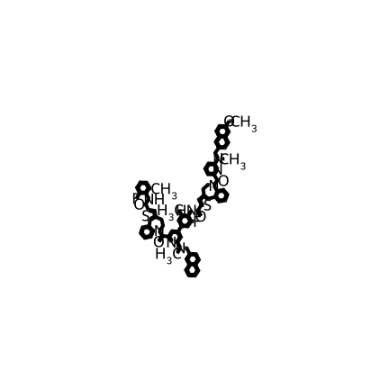 COc1ccc2cc(CN(C)c3cccc(C(=O)N4CCc5cc(C(=O)Nc6c(C)cc(-c7cc(C(=O)N8CCc9cc(C(=O)Nc%10c(C)cccc%10F)sc9-c9ccccc98)nc(N(C)Cc8ccc9ccccc9c8)c7)cc6F)sc5-c5ccccc54)n3)ccc2c1